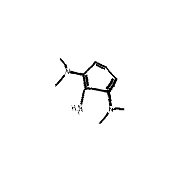 CN(C)c1cccc(N(C)C)c1N